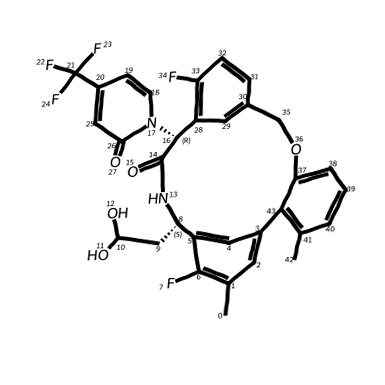 Cc1cc2cc(c1F)[C@H](CC(O)O)NC(=O)[C@H](n1ccc(C(F)(F)F)cc1=O)c1cc(ccc1F)COc1cccc(C)c1-2